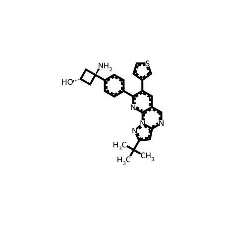 CC(C)(C)c1cc2ncc3cc(-c4ccsc4)c(-c4ccc([C@]5(N)C[C@H](O)C5)cc4)nc3n2n1